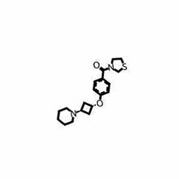 O=C(c1ccc(O[C@H]2C[C@H](N3CCCCC3)C2)cc1)N1CCSC1